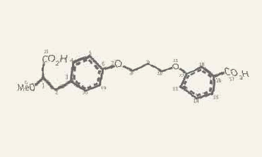 COC(Cc1ccc(OCCCOc2cccc(C(=O)O)c2)cc1)C(=O)O